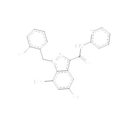 Cc1cc(C)c2c(c1)c(C(=O)Nc1ccccn1)nn2Cc1ccccc1Cl